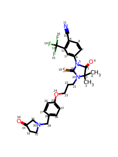 CC1(C)C(=O)N(c2ccc(C#N)c(C(F)(F)F)c2)C(=S)N1CCCOc1ccc(CN2CCC(=O)C2)cc1